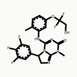 Cc1ccc(OC(F)(F)CO)cc1NC1=NC(=O)N(C)C2=NCC(c3cc(F)c(F)c(F)c3)N12